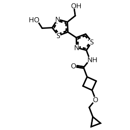 O=C(Nc1nc(-c2sc(CO)nc2CO)cs1)C1CC(OCC2CC2)C1